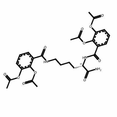 CC(=O)Oc1cccc(C(=O)NCCCC[C@H](NC(=O)c2cccc(OC(C)=O)c2OC(C)=O)C(N)=O)c1OC(C)=O